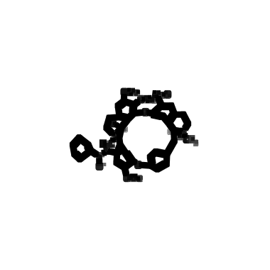 COc1cc(N[S+]([O-])c2ccccc2)c2cc1Oc1ccc(cc1)C[C@H]1c3cc(c(OC)cc3CCN1C)Oc1c(OC)c(OC)cc3c1[C@H](C2)N(C)CC3